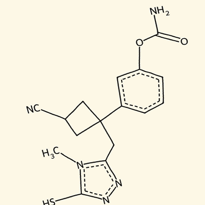 Cn1c(S)nnc1CC1(c2cccc(OC(N)=O)c2)CC(C#N)C1